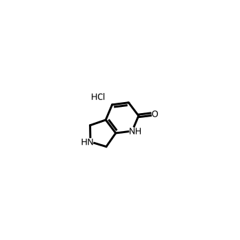 Cl.O=c1ccc2c([nH]1)CNC2